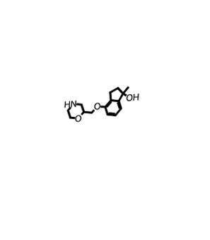 CC1(O)CCc2c(OCC3CNCCO3)cccc21